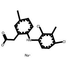 Cc1ccc(Nc2ccc(Cl)c(C)c2Cl)c(CC(=O)[O-])c1.[Na+]